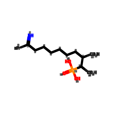 CCCC(=N)CCCCCCC(C(=O)O)C(C(=O)O)P(=O)(O)O